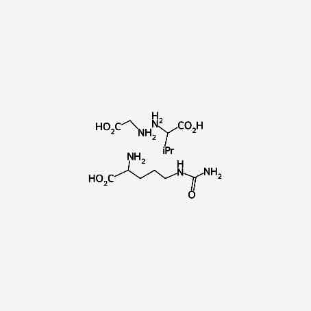 CC(C)C(N)C(=O)O.NC(=O)NCCCC(N)C(=O)O.NCC(=O)O